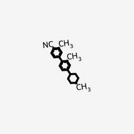 Cc1cc(-c2ccc(C3CCC(C)CC3)cc2C)ccc1C#N